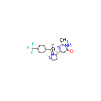 Cc1nc(-c2ccnn2C(C)c2ccc(C(F)(F)F)cc2)cc(=O)[nH]1